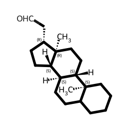 C[C@]12CC[C@H]3[C@@H](CCC4CCCC[C@@]43C)[C@@H]1CC[C@@H]2CC=O